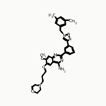 COc1cc2nc(-c3cccc(-c4cn(Cc5cc(C)cc(C)c5)nn4)c3)nc(N)c2cc1OCCCN1CCOCC1